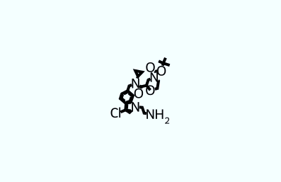 CC(C)(C)OC(=O)N1CCOC(C(=O)N(Cc2ccc3c(Cl)cn(CCN)c3c2)C2CC2)C1